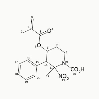 C=C(C)C(=O)OC1CCN(C(=O)O)C(C)([N+](=O)[O-])C1c1ccccc1